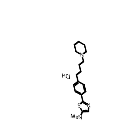 CNc1cnc(-c2ccc(CCCCN3CCCCC3)cc2)s1.Cl